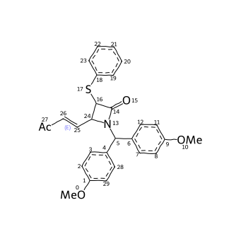 COc1ccc(C(c2ccc(OC)cc2)N2C(=O)C(Sc3ccccc3)C2/C=C/C(C)=O)cc1